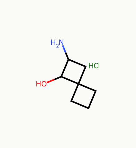 Cl.NC1CC2(CCC2)C1O